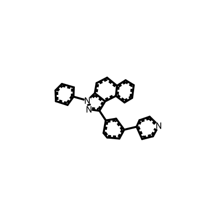 c1ccc(-n2nc(-c3cccc(-c4ccncc4)c3)c3c4ccccc4ccc32)cc1